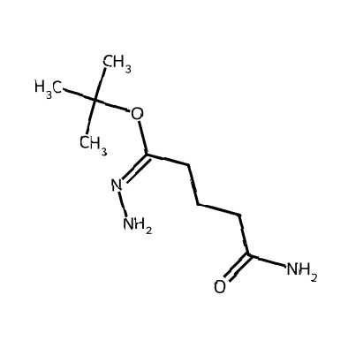 CC(C)(C)OC(CCCC(N)=O)=NN